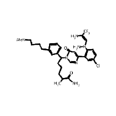 CNCCCCc1cccc(C(CCCC(C)C(N)=O)n2cnc(-c3cc(Cl)ccc3N(N)/C=C(\N)C(F)(F)F)cc2=O)c1